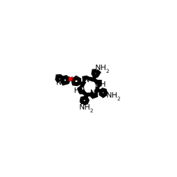 Nc1ccc(-c2c3nc(c(-c4ccc(N)cc4)c4ccc([nH]4)c(-c4ccc(N)cc4)c4nc(c(-c5ccc(N)cc5)c5ccc2[nH]5)C=C4)C=C3)cc1.c1ccc2ncccc2c1